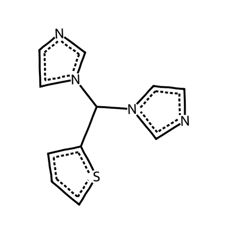 c1csc(C(n2ccnc2)n2ccnc2)c1